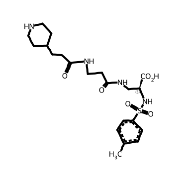 Cc1ccc(S(=O)(=O)N[C@@H](CNC(=O)CCNC(=O)CCC2CCNCC2)C(=O)O)cc1